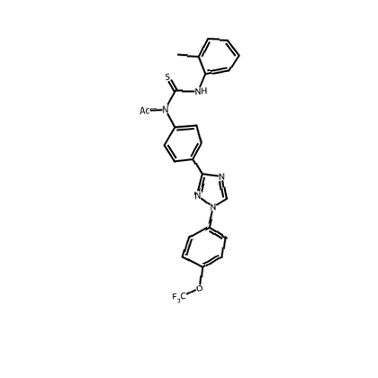 CC(=O)N(C(=S)Nc1ccccc1C)c1ccc(-c2ncn(-c3ccc(OC(F)(F)F)cc3)n2)cc1